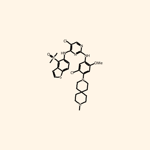 COc1cc(N2CCC3(CCN(C)CC3)CC2)c(Cl)cc1Nc1ncc(Cl)c(Nc2ccc3sccc3c2P(C)(C)=O)n1